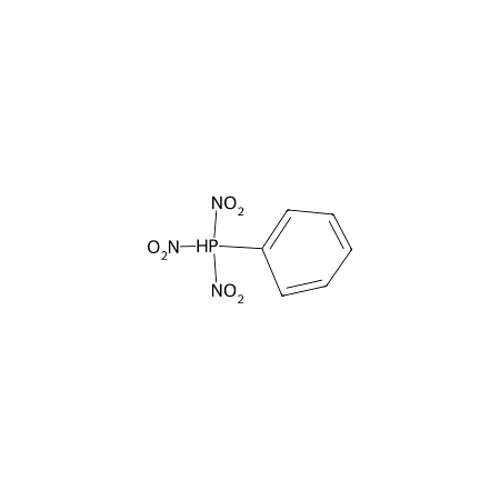 O=[N+]([O-])[PH](c1ccccc1)([N+](=O)[O-])[N+](=O)[O-]